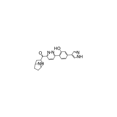 O=C(c1ccc(-c2ccc(-c3cn[nH]c3)cc2O)nn1)C1CC2CCC(C1)N2